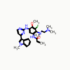 C=CC(=O)Nc1cc(Nc2nccc(-c3cn(C)c4ccccc34)n2)c(OC)c(F)c1N(C)CCN(C)C